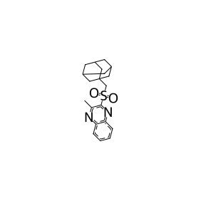 Cc1nc2ccccc2nc1S(=O)(=O)CC12CC3CC(CC(C3)C1)C2